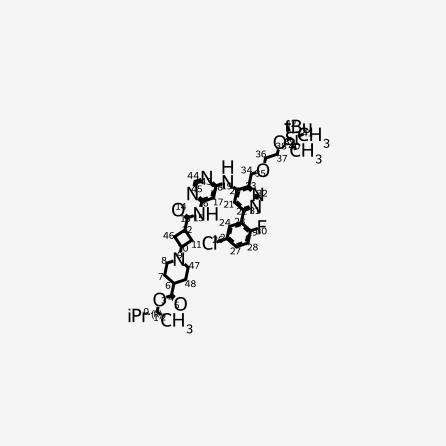 CC(C)[C@@H](C)OC(=O)C1CCN(C2CC(C(=O)Nc3cc(Nc4cc(-c5cc(Cl)ccc5F)nnc4COCCO[Si](C)(C)C(C)(C)C)ncn3)C2)CC1